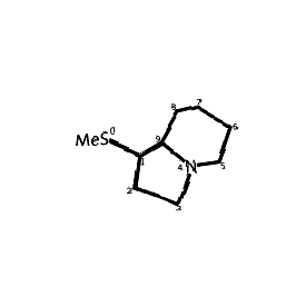 CSC1CCN2CCCCC12